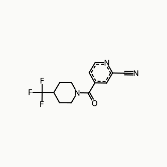 N#Cc1cc(C(=O)N2CCC(C(F)(F)F)CC2)ccn1